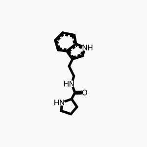 O=C(NCCc1c[nH]c2ccccc12)C1CCCN1